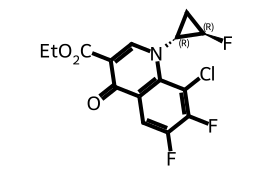 CCOC(=O)c1cn([C@@H]2C[C@H]2F)c2c(Cl)c(F)c(F)cc2c1=O